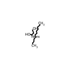 CCCCCCC(O)CCO.CCCCCCCCCCCC